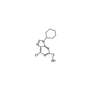 CCCSc1nc(Cl)c2ncn(C3CCCCC3)c2n1